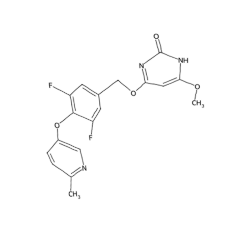 COc1cc(OCc2cc(F)c(Oc3ccc(C)nc3)c(F)c2)nc(=O)[nH]1